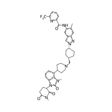 Cc1cc2nn([C@H]3CC[C@H](CN4CCC(c5cccc6c5n(C)c(=O)n6C5CCC(=O)N(C)C5=O)CC4)CC3)cc2cc1NC(=O)c1cccc(C(F)(F)F)n1